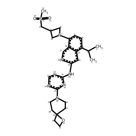 CC(C)c1ccc(N2CC(CS(C)(=O)=O)C2)c2cnc(Nc3ncnc(N4CCC5(CCO5)CC4)n3)cc12